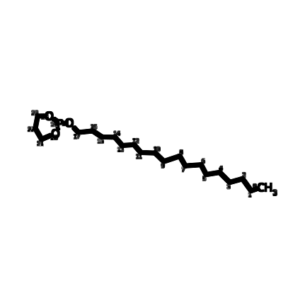 CCCCCCCCCCCCCCCCCCOP1OCCCO1